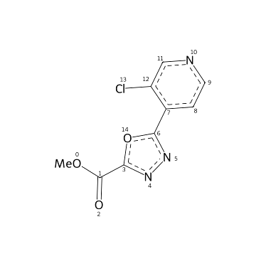 COC(=O)c1nnc(-c2ccncc2Cl)o1